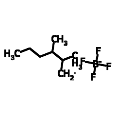 F[B-](F)(F)F.[CH2]C(C)C(C)CCC